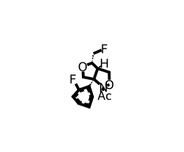 CC(=O)N1OC[C@@H]2[C@@H](CF)OC[C@@]21c1ccccc1F